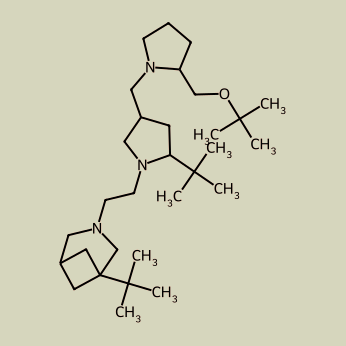 CC(C)(C)OCC1CCCN1CC1CC(C(C)(C)C)N(CCN2CC3CC(C(C)(C)C)(C3)C2)C1